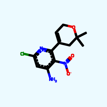 CC1(C)CC(c2nc(Cl)cc(N)c2[N+](=O)[O-])=CCO1